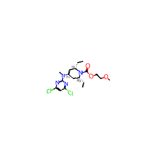 CC[C@@H]1C[C@@H](N(C)c2nc(Cl)cc(Cl)n2)C[C@H](CC)N1C(=O)OCCOC